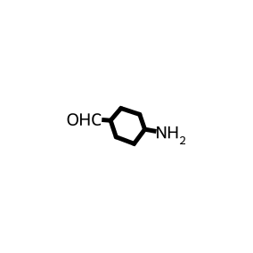 NC1CCC(C=O)CC1